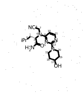 CC(C)C[C@@H](C(N)=O)N(CC#N)c1ccnc(N2CCC(O)CC2)n1